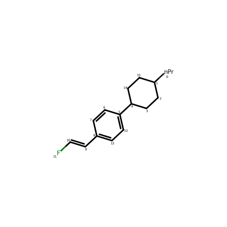 CCCC1CCC(c2ccc(C=CF)cc2)CC1